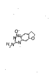 Nc1nc2cc3c(cc2[n+]([O-])n1)CCO3